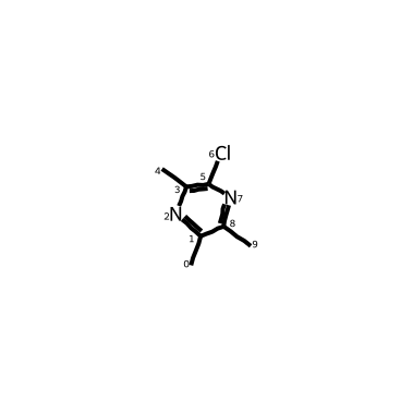 Cc1nc(C)c(Cl)nc1C